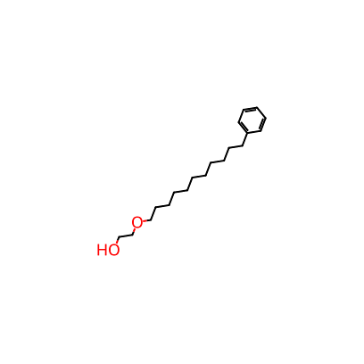 OCCOCCCCCCCCCCCc1ccccc1